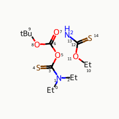 CCN(CC)C(=S)OC(=O)OC(C)(C)C.CCOC(N)=S